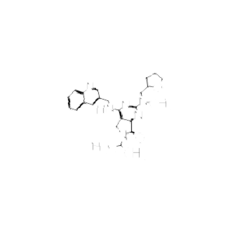 CC(C)N1Cc2c(NCc3cnc4ccccc4c3)nc(N(C)CC3CCCO3)nc2C1=O